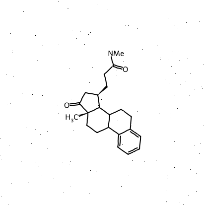 CNC(=O)CC[C@@H]1CC(=O)[C@@]2(C)CCC3c4ccccc4CCC3C12